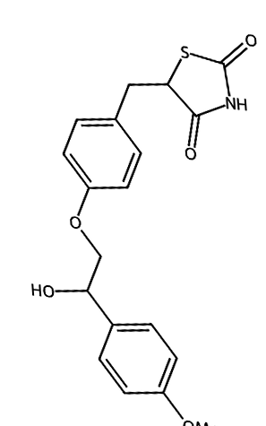 COc1ccc(C(O)COc2ccc(CC3SC(=O)NC3=O)cc2)cc1